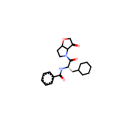 O=C(N[C@@H](CC1CCCCC1)C(=O)N1CCC2OCC(=O)C21)c1ccccc1